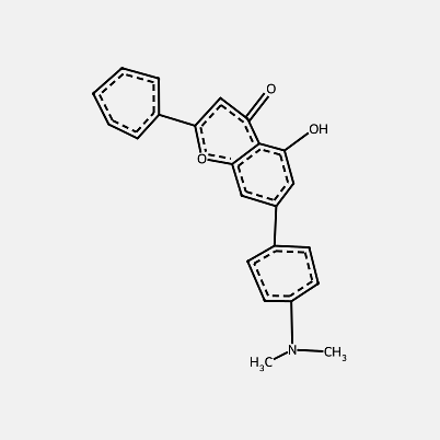 CN(C)c1ccc(-c2cc(O)c3c(=O)cc(-c4ccccc4)oc3c2)cc1